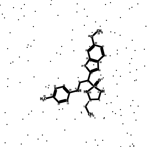 CC[C@H]1CNP(=O)(C(CNc2cnc(C)cn2)c2cc3ccc(OC)cc3s2)N1